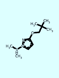 C[SH](C)n1ccc(OCC(C)(C)C)n1